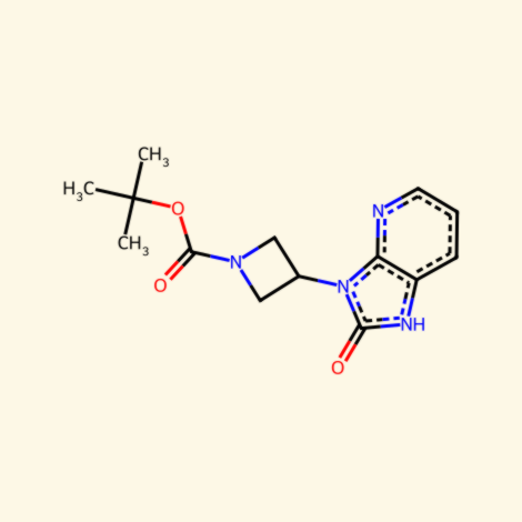 CC(C)(C)OC(=O)N1CC(n2c(=O)[nH]c3cccnc32)C1